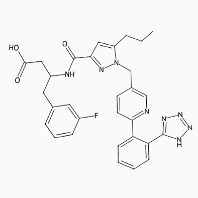 CCCc1cc(C(=O)NC(CC(=O)O)Cc2cccc(F)c2)nn1Cc1ccc(-c2ccccc2-c2nnn[nH]2)nc1